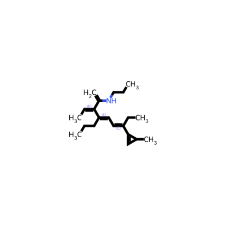 C=C(NCCC)C(=C/C)/C(=C/C=C(\CC)C1=CC1C)CCC